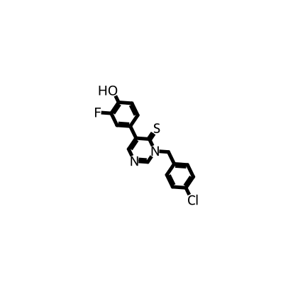 Oc1ccc(-c2cncn(Cc3ccc(Cl)cc3)c2=S)cc1F